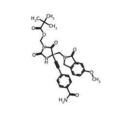 COc1ccc2c(c1)C(=O)N(C[C@@]1(C#Cc3ccc(C(N)=O)cc3)NC(=O)N(COC(=O)C(C)(C)C)C1=O)C2